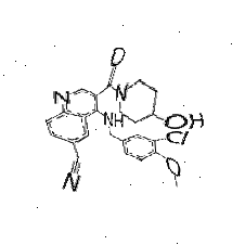 COc1ccc(CNc2c(C(=O)N3CCC(O)CC3)cnc3ccc(C#N)cc23)cc1Cl